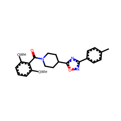 COc1cccc(OC)c1C(=O)N1CCC(c2nc(-c3ccc(C)cc3)no2)CC1